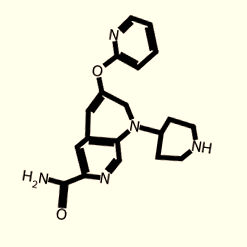 NC(=O)c1cc2c(cn1)N(C1CCNCC1)CC(Oc1ccccn1)=C2